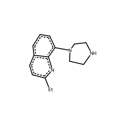 CCc1ccc2cccc(N3CCNCC3)c2n1